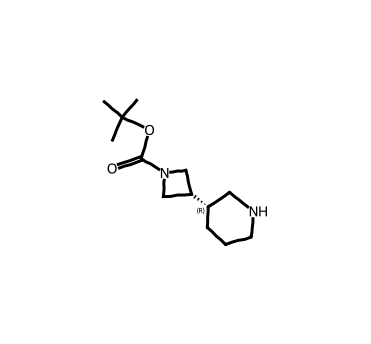 CC(C)(C)OC(=O)N1CC([C@H]2CCCNC2)C1